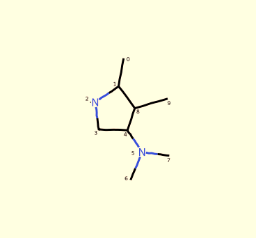 CC1[N]CC(N(C)C)C1C